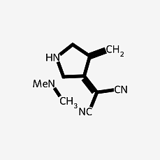 C=C1CNCC1=C(C#N)C#N.CNC